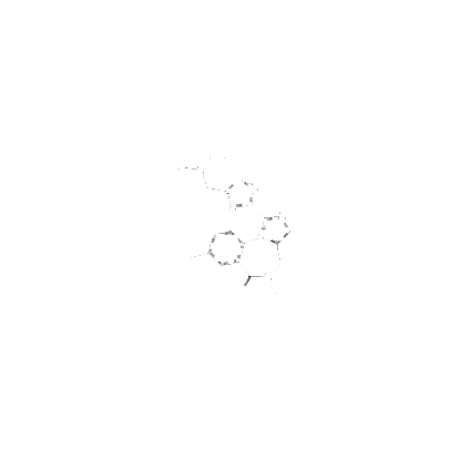 CCCCN(CCCC)Cc1nc(-c2ncc3n2-c2ccc(Cl)cc2C(=O)N(C)C3)no1.Cl